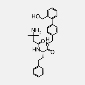 CC(C)(N)CC(=O)N[C@H](CCc1ccccc1)C(=O)NCc1ccc(-c2ccccc2CO)cc1